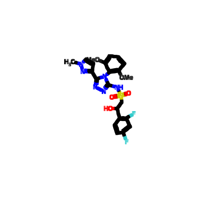 COc1cccc(OC)c1-n1c(NS(=O)(=O)CC(O)c2ccc(F)cc2F)nnc1-c1ccn(C)n1